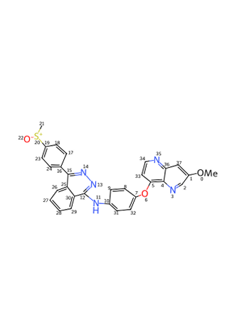 COc1cnc2c(Oc3ccc(Nc4nnc(-c5ccc([S+](C)[O-])cc5)c5ccccc45)cc3)ccnc2c1